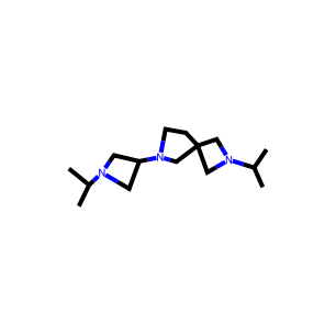 CC(C)N1CC(N2CCC3(CN(C(C)C)C3)C2)C1